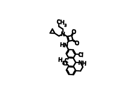 CCCN(CC1CC1)c1c(Nc2cc(C)c(C3NCCc4cccc(Cl)c43)c(Cl)c2)c(=O)c1=O